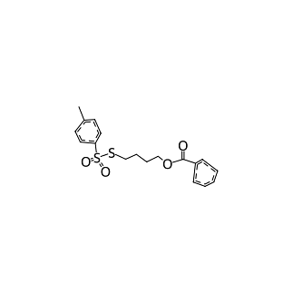 Cc1ccc(S(=O)(=O)SCCCCOC(=O)c2ccccc2)cc1